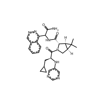 CC1(C)[C@@H]2[C@@H](C(=O)NC(C(N)=O)c3nncc4ccccc34)N(C(=O)[C@H](CC3CC3)Nc3cncnc3)C[C@@H]21